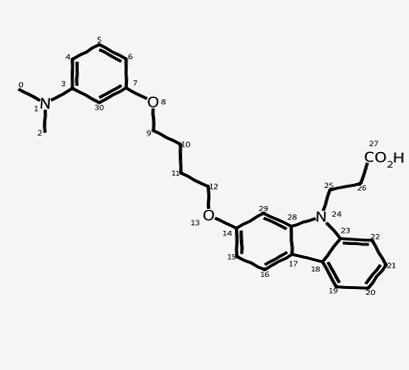 CN(C)c1cccc(OCCCCOc2ccc3c4ccccc4n(CCC(=O)O)c3c2)c1